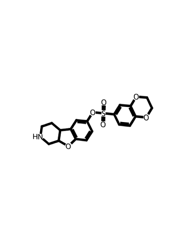 O=S(=O)(Oc1ccc2c(c1)C1CCNCC1O2)c1ccc2c(c1)OCCO2